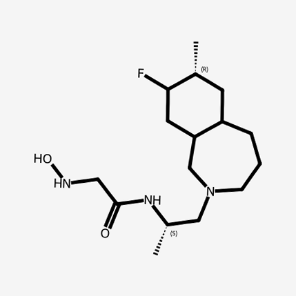 C[C@@H]1CC2CCCN(C[C@H](C)NC(=O)CNO)CC2CC1F